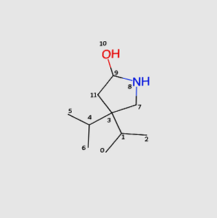 CC(C)C1(C(C)C)CNC(O)C1